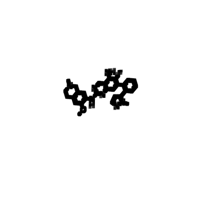 COc1cc2c(cc1Nc1ncc3c(N)c(F)c(-c4ccccc4-c4ccnn4C)cc3n1)CN(C)CC2